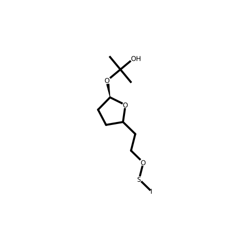 CC(C)(O)O[C@@H]1CCC(CCOSI)O1